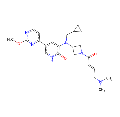 COc1nccc(-c2c[nH]c(=O)c(N(CC3CC3)C3CN(C(=O)/C=C/CN(C)C)C3)c2)n1